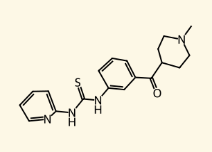 CN1CCC(C(=O)c2cccc(NC(=S)Nc3ccccn3)c2)CC1